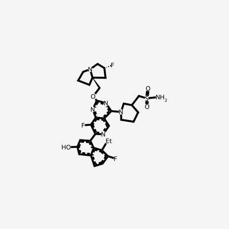 CCc1c(F)ccc2cc(O)cc(-c3ncc4c(N5CCCC(CS(N)(=O)=O)C5)nc(OC[C@@]56CCCN5C[C@H](F)C6)nc4c3F)c12